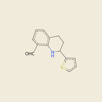 O=Cc1cccc2c1NC(c1cccs1)CC2